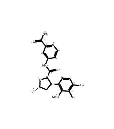 COc1c([C@H]2C[C@H](C(F)(F)F)O[C@H]2C(=O)Nc2ccnc(C(N)=O)c2)ccc(F)c1C